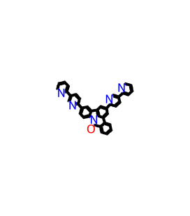 O=c1c2ccccc2c2cc(-c3ccc(-c4ccccn4)cn3)cc3c4cc(-c5ccc(-c6ccccn6)cn5)ccc4n1c23